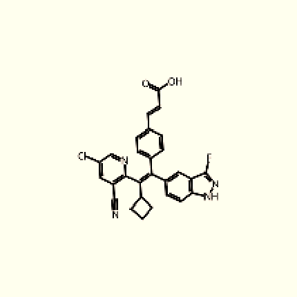 N#Cc1cc(Cl)cnc1/C(=C(\c1ccc(/C=C/C(=O)O)cc1)c1ccc2[nH]nc(F)c2c1)C1CCC1